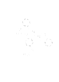 COc1ccc(OC)c(C2N(Cc3ccccc3F)CCCN2Cc2ccccc2Cl)c1